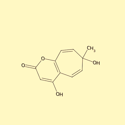 CC1(O)C=Cc2oc(=O)cc(O)c2C=C1